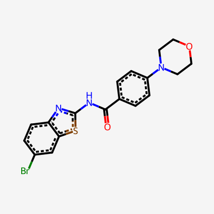 O=C(Nc1nc2ccc(Br)cc2s1)c1ccc(N2CCOCC2)cc1